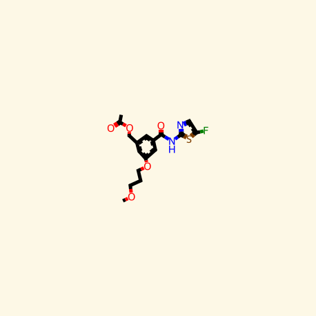 COCCCOc1cc(COC(C)=O)cc(C(=O)Nc2ncc(F)s2)c1